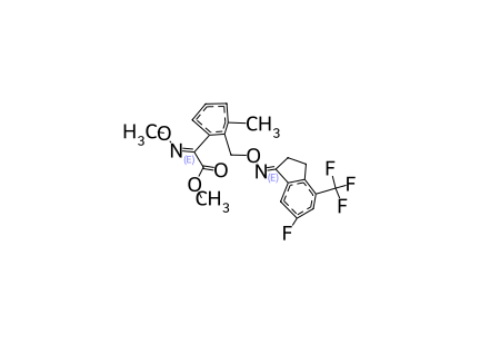 CO/N=C(/C(=O)OC)c1cccc(C)c1CO/N=C1\CCc2c1cc(F)cc2C(F)(F)F